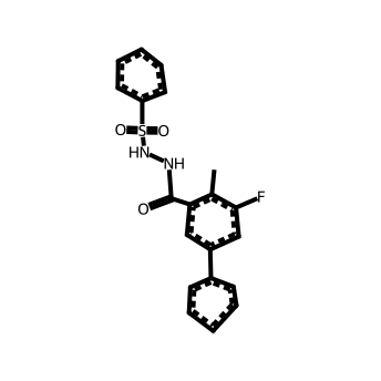 Cc1c(F)cc(-c2ccccc2)cc1C(=O)NNS(=O)(=O)c1ccccc1